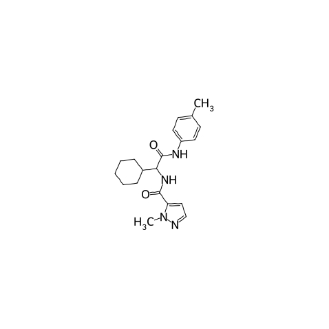 Cc1ccc(NC(=O)C(NC(=O)c2ccnn2C)C2CCCCC2)cc1